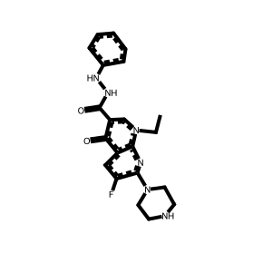 CCn1cc(C(=O)NNc2ccccc2)c(=O)c2cc(F)c(N3CCNCC3)nc21